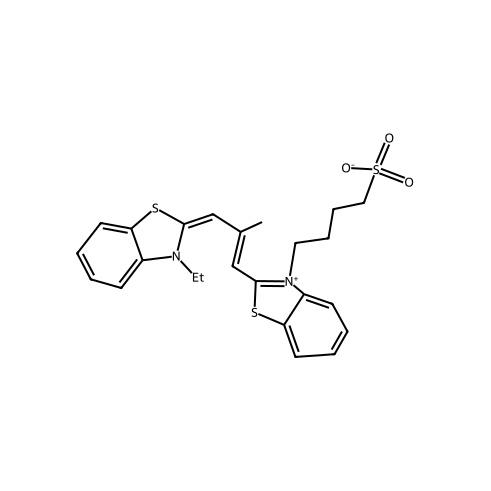 CCN1C(=CC(C)=Cc2sc3ccccc3[n+]2CCCCS(=O)(=O)[O-])Sc2ccccc21